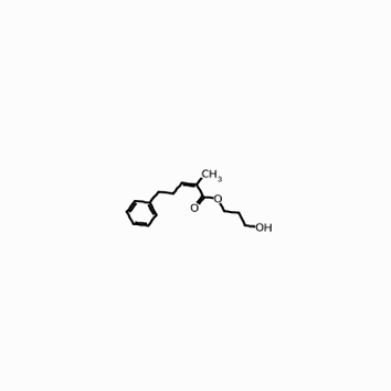 CC(=CCCc1ccccc1)C(=O)OCCCO